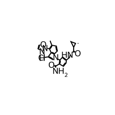 Cc1ccc2c(c(Cl)cn2-c2cc(CNC(=O)C3[CH]C3)ccc2C(N)=O)c1N1NC=CO1